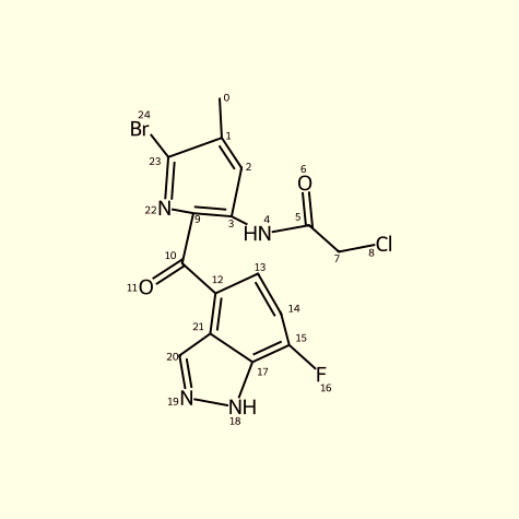 Cc1cc(NC(=O)CCl)c(C(=O)c2ccc(F)c3[nH]ncc23)nc1Br